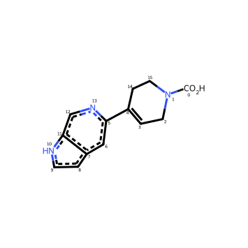 O=C(O)N1CC=C(c2cc3cc[nH]c3cn2)CC1